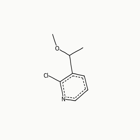 COC(C)c1cccnc1Cl